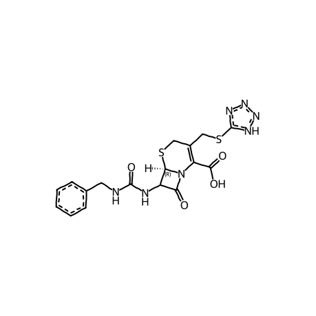 O=C(NCc1ccccc1)NC1C(=O)N2C(C(=O)O)=C(CSc3nnn[nH]3)CS[C@H]12